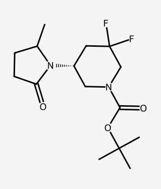 CC1CCC(=O)N1[C@H]1CN(C(=O)OC(C)(C)C)CC(F)(F)C1